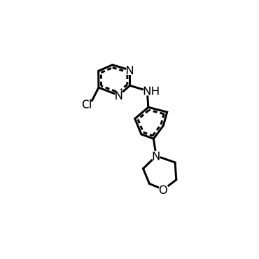 Clc1ccnc(Nc2ccc(N3CCOCC3)cc2)n1